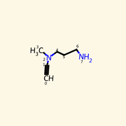 C#CN(C)CCCN